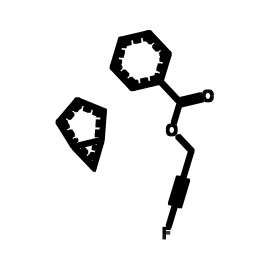 O=C(OCC#CF)c1ccccc1.c1cc2cc-2c1